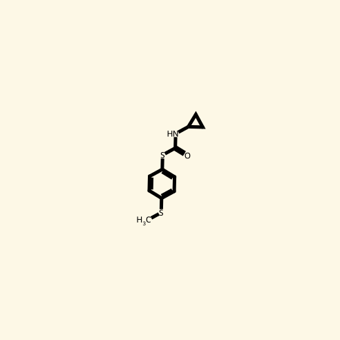 CSc1ccc(SC(=O)NC2CC2)cc1